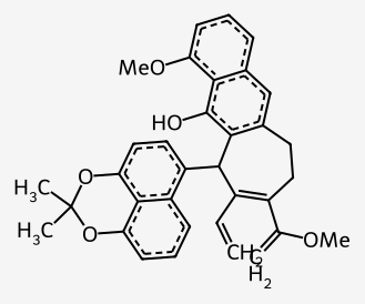 C=CC1=C(C(=C)OC)CCc2cc3cccc(OC)c3c(O)c2C1c1ccc2c3c(cccc13)OC(C)(C)O2